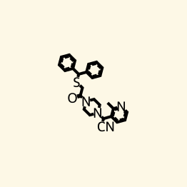 Cc1ncccc1C(C#N)N1CCN(C(=O)CSC(c2ccccc2)c2ccccc2)CC1